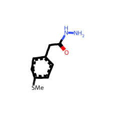 CSc1ccc(CC(=O)NN)cc1